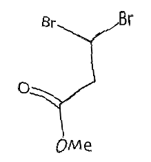 COC(=O)CC(Br)Br